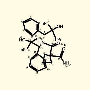 CCCC(O)(CCC)[C@@H](c1ccccc1)N(C(=O)C1(C(N)=O)CCC1)[C@H](c1ccccc1)C(O)(CCC)CCC